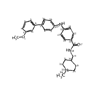 COc1cccc(-c2ccc(Nc3ccc(C(=O)NCC4CCN(C)CC4)cc3)cc2)c1